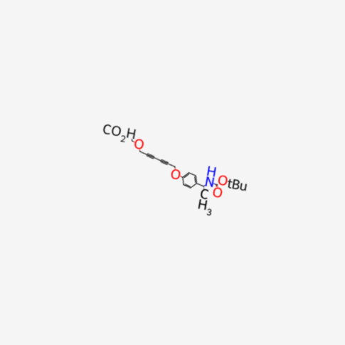 C[C@@H](NC(=O)OC(C)(C)C)c1ccc(OCC#CC#CCOCC(=O)O)cc1